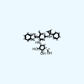 Cc1nc(NC2(c3ccccc3)CC2)nc(N[C@@H]2C[C@H](CO)[C@@H](O)[C@H]2O)c1-c1nc2ccccc2s1